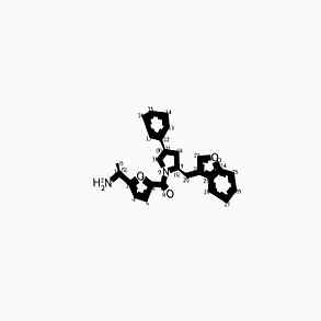 C[C@H](N)c1ccc(C(=O)N2C[C@@H](c3ccccc3)C[C@H]2Cc2coc3ccccc23)o1